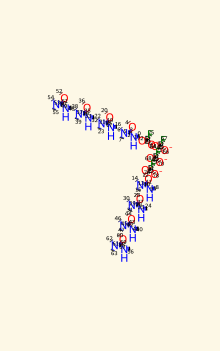 CNC(OC)=[N+](C)C.CNC(OC)=[N+](C)C.CNC(OC)=[N+](C)C.CNC(OC)=[N+](C)C.CNC(OC)=[N+](C)C.CNC(OC)=[N+](C)C.CNC(OC)=[N+](C)C.CNC(OC)=[N+](C)C.[O-]B([O-])F.[O-]B([O-])F.[O-]B([O-])F.[O-]B([O-])F